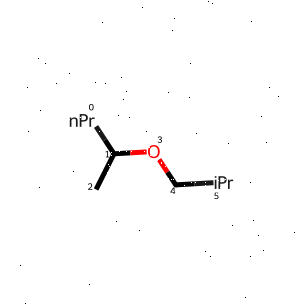 [CH2]CCC(C)OCC(C)C